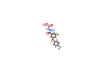 CCc1ccc(Oc2cc(F)cc(C(=O)NCC(=O)O)c2)cc1